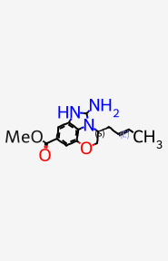 C/C=C/C[C@H]1COc2cc(C(=O)OC)cc3c2N1C(N)N3